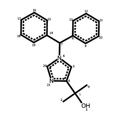 CC(C)(O)c1cn(C(c2ccccc2)c2ccccc2)cn1